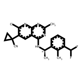 Cc1nc(N[C@H](C)c2cccc(C(F)F)c2C)c2cc(C3(C#N)CC3)c(Cl)nc2n1